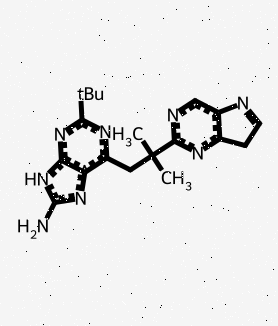 CC(C)(C)c1nc(CC(C)(C)c2ncc3c(n2)CC=N3)c2nc(N)[nH]c2n1